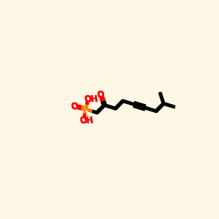 CC(C)CC#CCCC(=O)CP(=O)(O)O